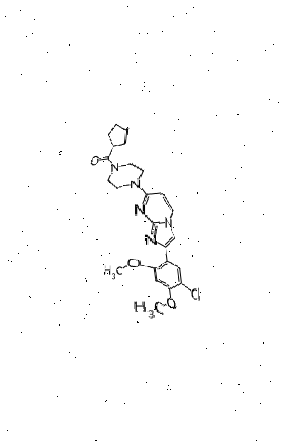 COc1cc(OC)c(-c2cn3ccc(N4CCN(C(=O)C5CCCC5)CC4)nc3n2)cc1Cl